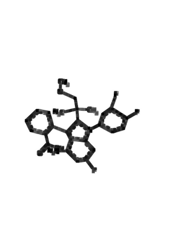 COCC(C)(C)c1c(-c2ccccc2C(=O)O)c2c(N)cc(F)cc2n1-c1ccc(F)c(F)c1